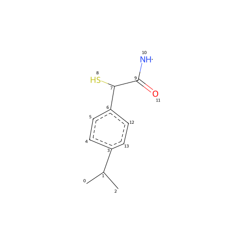 CC(C)c1ccc(C(S)C([NH])=O)cc1